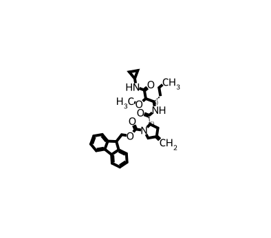 C=C1C[C@@H](C(=O)N[C@@H](CCC)C(OC)C(=O)NC2CC2)N(C(=O)OCC2c3ccccc3-c3ccccc32)C1